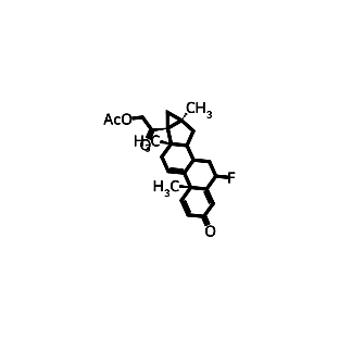 CC(=O)OCC(=O)[C@@]12C[C@@]1(C)CC1C3CC(F)C4=CC(=O)C=C[C@]4(C)C3=CC[C@@]12C